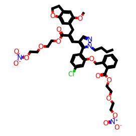 CCCCn1ncc(/C=C(\Cc2cc3c(cc2OC)CCO3)C(=O)OCCOCCO[N+](=O)[O-])c1-c1ccc(Cl)cc1OCc1ccccc1C(=O)OCCOCCO[N+](=O)[O-]